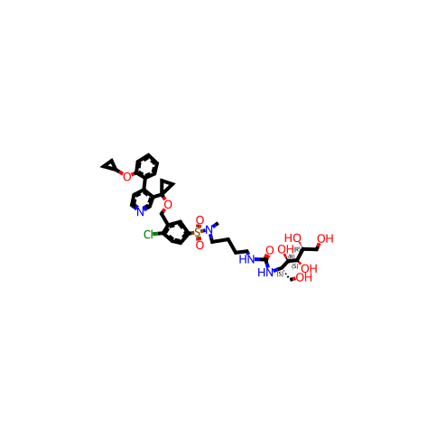 CN(CCCCNC(=O)N[C@@H](CO)[C@@H](O)[C@H](O)[C@H](O)CO)S(=O)(=O)c1ccc(Cl)c(COC2(c3cnccc3-c3ccccc3OC3CC3)CC2)c1